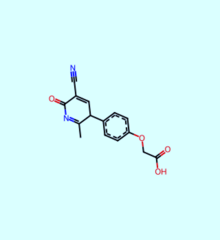 CC1=NC(=O)C(C#N)=CC1c1ccc(OCC(=O)O)cc1